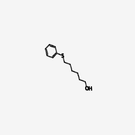 OCCCCCCSc1ccccc1